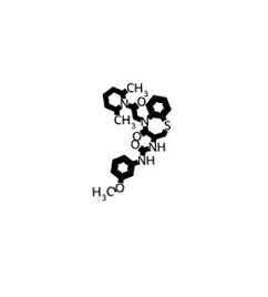 COc1cccc(NC(=O)NC2CSc3ccccc3N(CC(=O)N3C(C)CCCC3C)C2=O)c1